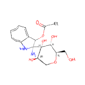 CCC(=O)OC1c2ccccc2NC1(N)[C@]1(O)[C@H](O)CO[C@H](CO)[C@H]1O